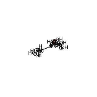 C=CC(C)([C@H](C)Nc1nc(N)nc(N2CCN(CCCCCCCCCCC(=O)NNC(=O)N[C@@H](CCC(=O)O)C(=O)O)CC2)n1)N(CCN(CCN(CCNCC(=O)O)CC(=O)O)CC(=O)O)CC(=O)O